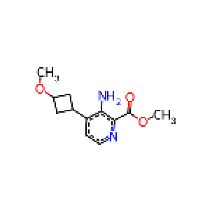 COC(=O)c1nccc(C2CC(OC)C2)c1N